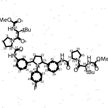 COC(=O)N[C@H](C(=O)N1CCC[C@H]1C(=O)Nc1cccc(C2CCC(c3cccc(NC(=O)[C@@H]4CCCN4C(=O)[C@@H](NC(=O)OC)C(C)(C)C)c3)N2c2ccc(F)cc2)c1)C(C)(C)C